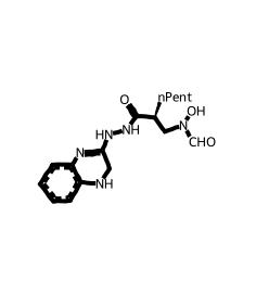 CCCCC[C@@H](CN(O)C=O)C(=O)NNC1=Nc2ccccc2NC1